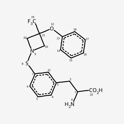 NC(Cc1cccc(SN2CC(Oc3ccccc3)(C(F)(F)F)C2)c1)C(=O)O